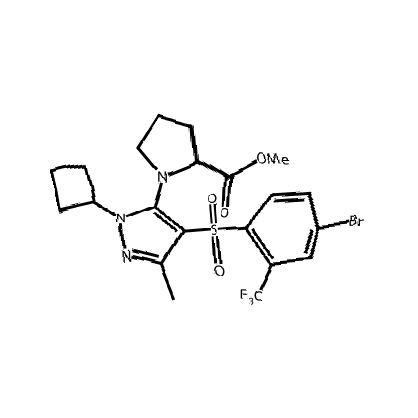 COC(=O)C1CCCN1c1c(S(=O)(=O)c2ccc(Br)cc2C(F)(F)F)c(C)nn1C1CCC1